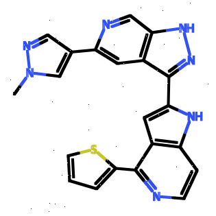 Cn1cc(-c2cc3c(-c4cc5c(-c6cccs6)nccc5[nH]4)n[nH]c3cn2)cn1